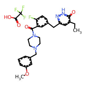 CCc1cc(Cc2ccc(F)c(C(=O)N3CCN(Cc4cccc(OC)c4)CC3)c2)n[nH]c1=O.O=C(O)C(F)(F)F